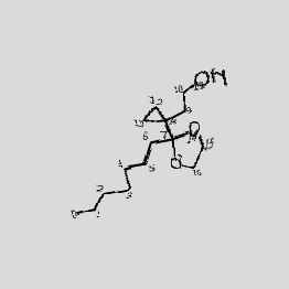 CCCCCCCC1(C2(CCO)CC2)OCCO1